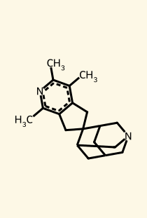 Cc1nc(C)c2c(c1C)CC1(C2)C2CC3CC1CN(C3)C2